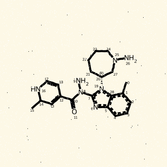 Cc1cccc2nc(N(N)C(=O)C3=CC(C)NC=C3)n([C@@H]3CCCCN(N)C3)c12